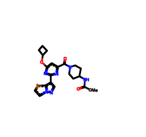 COC(=O)NC1CCN(C(=O)c2cc(OC3CCC3)nc(-c3cnn4ccsc34)n2)CC1